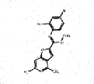 Cc1cc2oc(/C(=N/c3ccc(Br)cc3C)NC=O)cc2c(C)n1